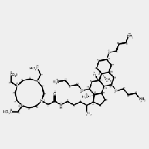 CC(CCCNC(=O)CN1CCN(CC(=O)O)CCN(CC(=O)O)CCN(CC(=O)O)CC1)C1CCC2C3[C@H](OCCCN)CC4C[C@H](OCCCN)CC[C@]4(C)[C@H]3C[C@H](OCCCN)[C@]12C